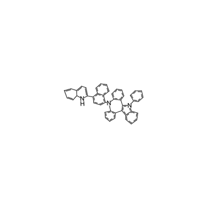 C1=CC2=CC=C(c3ccc(N4c5ccccc5-c5c(n(-c6ccccc6)c6ccccc56)-c5ccccc54)c4ccccc34)NC2C=C1